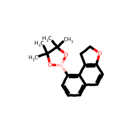 CC1(C)OB(c2cccc3ccc4c(c23)CCO4)OC1(C)C